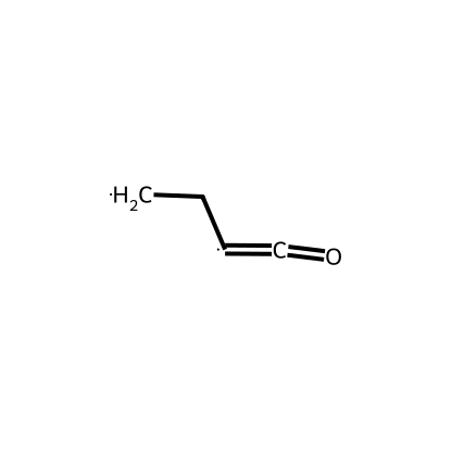 [CH2]C[C]=C=O